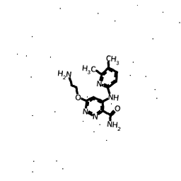 Cc1ccc(Nc2cc(OCCN)nnc2C(N)=O)nc1C